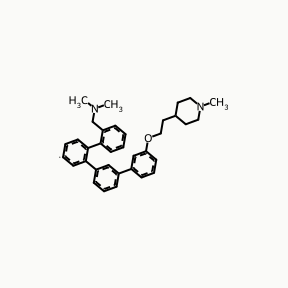 CN(C)Cc1ccccc1-c1cc[c]cc1-c1cccc(-c2cccc(OCCC3CCN(C)CC3)c2)c1